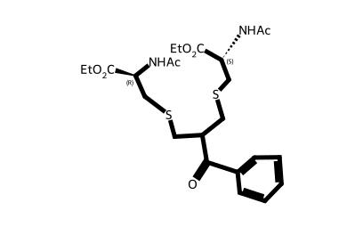 CCOC(=O)[C@H](CSCC(CSC[C@@H](NC(C)=O)C(=O)OCC)C(=O)c1ccccc1)NC(C)=O